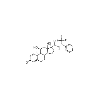 CC12C=CC(=O)C=C1CCC1C2[C@@H](O)CC2(C)C1CC[C@]2(O)C(=O)N[C@@H](c1ccccc1)C(F)(F)F